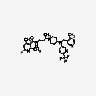 Cc1ccncc1CN(c1ccc(C(F)(F)F)nc1)C1CCN(C(C)CCNC(=O)c2c(C)cc(F)nc2C)CC1